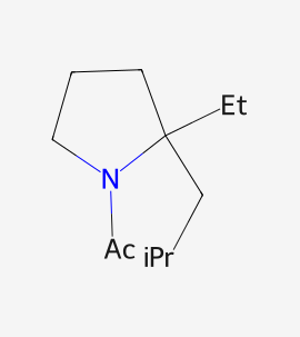 CCC1(CC(C)C)CCCN1C(C)=O